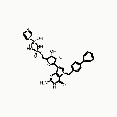 Nc1nc2c(c(=O)[nH]1)[n+](Cc1ccc(-c3ccccc3)cc1)cn2C1OC(COP(=O)(O)NP(=O)(O)n2ccnc2)[C@H](O)[C@@H]1O